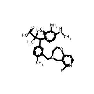 CNc1ccc(C(c2ccc(C)c(CN3CCOc4ccnc(F)c4C3)c2)C(C)(C)C(=O)O)c(C)c1N